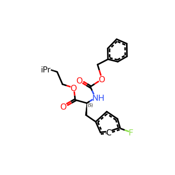 CC(C)CCOC(=O)[C@H](Cc1ccc(F)cc1)NC(=O)OCc1ccccc1